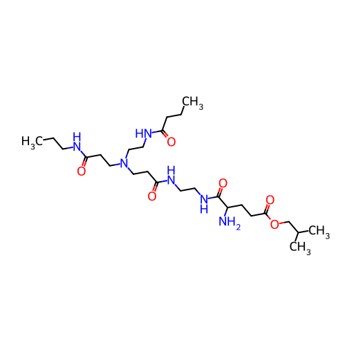 CCCNC(=O)CCN(CCNC(=O)CCC)CCC(=O)NCCNC(=O)C(N)CCC(=O)OCC(C)C